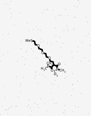 CSCCOCCOCCOCCC(C(=O)N(C)C)C(=O)N(C)C